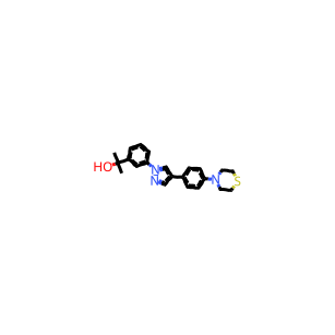 CC(C)(O)c1cccc(-n2cc(-c3ccc(N4CCSCC4)cc3)cn2)c1